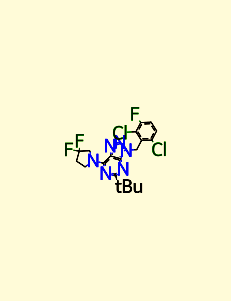 CC(C)(C)c1nc(N2CCC(F)(F)C2)c2nnn(Cc3c(Cl)ccc(F)c3Cl)c2n1